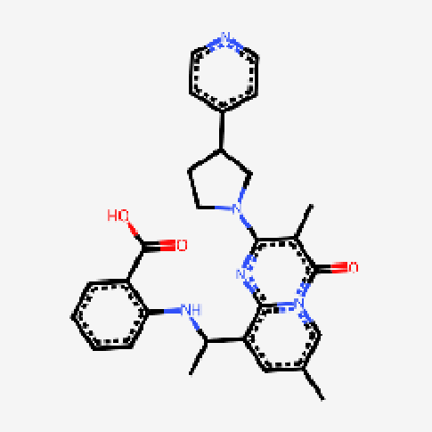 Cc1cc(C(C)Nc2ccccc2C(=O)O)c2nc(N3CCC(c4ccncc4)C3)c(C)c(=O)n2c1